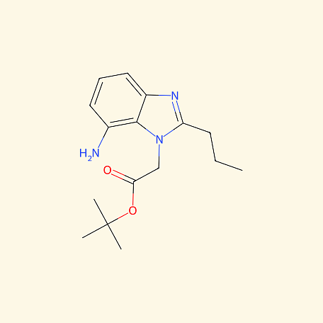 CCCc1nc2cccc(N)c2n1CC(=O)OC(C)(C)C